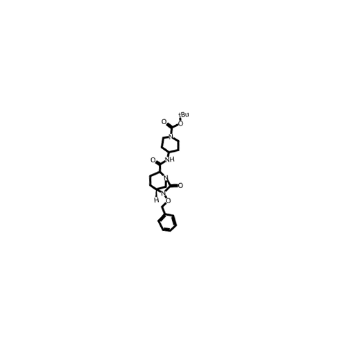 CC(C)(C)OC(=O)N1CCC(NC(=O)C2CC[C@@H]3CN2C(=O)N3OCc2ccccc2)CC1